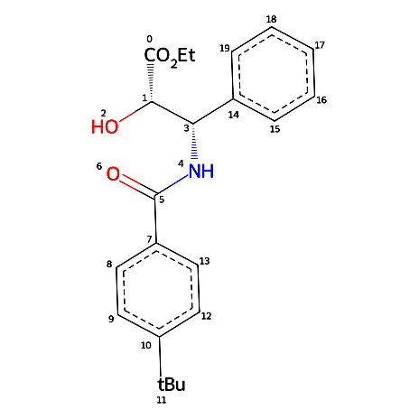 CCOC(=O)[C@@H](O)[C@@H](NC(=O)c1ccc(C(C)(C)C)cc1)c1ccccc1